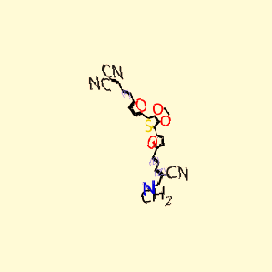 C=NC/C(C#N)=C/C=C/c1ccc(-c2sc(-c3ccc(/C=C/C=C(C#N)C#N)o3)c3c2OCCO3)o1